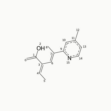 C=C(O)C(=C/C)/C=C(\C)c1cc(C)ccn1